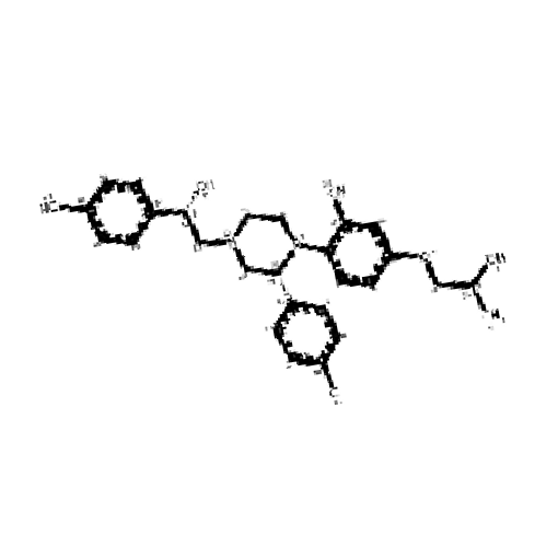 C[C@H](O)COc1ccc(N2CCN(C[C@@H](O)c3ccc(C#N)cc3)C[C@H]2c2ccc(Cl)cc2)c(C#N)c1